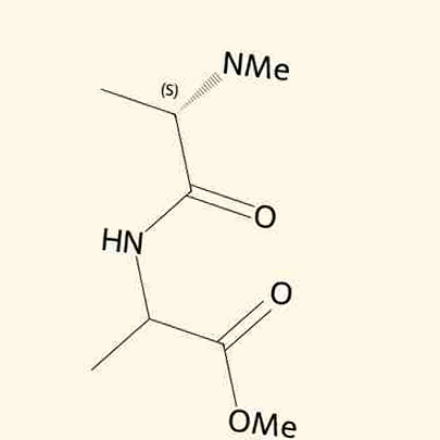 CN[C@@H](C)C(=O)NC(C)C(=O)OC